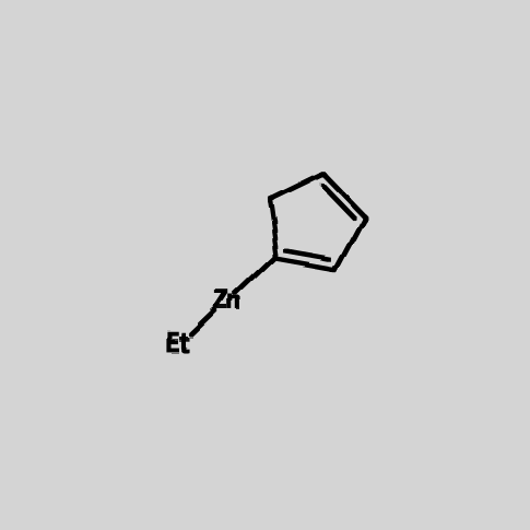 C[CH2][Zn][C]1=CC=CC1